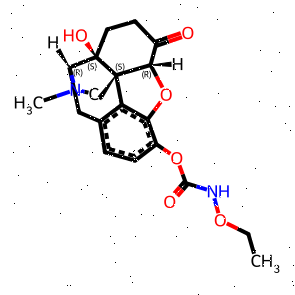 CCONC(=O)Oc1ccc2c3c1O[C@H]1C(=O)CC[C@@]4(O)[C@@H](C2)N(C)CC[C@]314